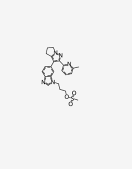 Cc1cccc(-c2nn3c(c2-c2ccc4ncn(CCCOS(C)(=O)=O)c4c2)CCC3)n1